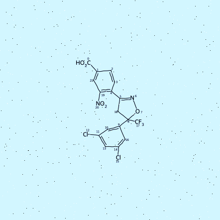 O=C(O)c1ccc(C2=NOC(c3cc(Cl)cc(Cl)c3)(C(F)(F)F)C2)c([N+](=O)[O-])c1